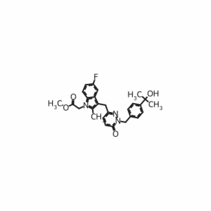 COC(=O)Cn1c(C)c(Cc2ccc(=O)n(Cc3ccc(C(C)(C)O)cc3)n2)c2cc(F)ccc21